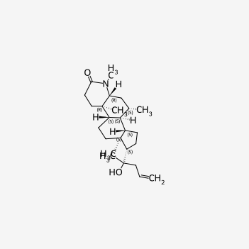 C=CCC(C)(O)[C@H]1CC[C@H]2[C@@H]3[C@@H](C)C[C@H]4N(C)C(=O)CC[C@]4(C)[C@H]3CC[C@]12C